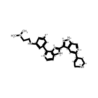 CN(C)CCNc1cc(F)cc(-c2nccc3[nH]c(-c4n[nH]c5cnc(C6=CCNCC6)cc45)nc23)c1